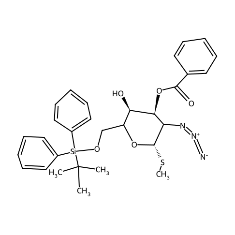 CS[C@@H]1OC(CO[Si](c2ccccc2)(c2ccccc2)C(C)(C)C)[C@@H](O)[C@@H](OC(=O)c2ccccc2)C1N=[N+]=[N-]